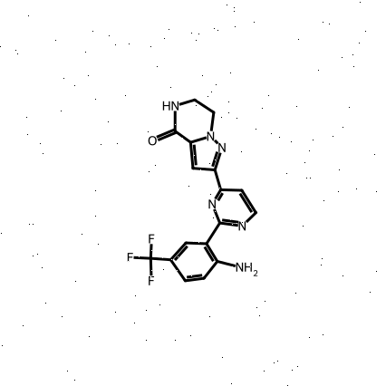 Nc1ccc(C(F)(F)F)cc1-c1nccc(-c2cc3n(n2)CCNC3=O)n1